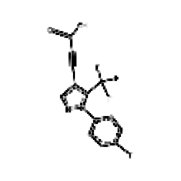 O=C(O)C#Cc1cnn(-c2ccc(F)cc2)c1C(F)(F)F